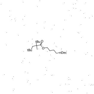 CCCCCCCCCCCCCCOC(=O)C(C)(CC(C)(C)C)C(C)(C)C